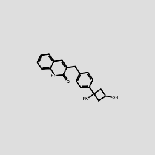 N#CC1(c2ccc(Cc3cc4ccccc4[nH]c3=O)cc2)CC(O)C1